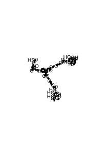 CC(=O)N1CCO[C@H]2O[C@H](CNC(=O)COCCOCCOC(=O)Cn3cc(C(=O)OCCOCCOCC(=O)NC[C@H]4O[C@@H]5OCCN(C(C)=O)[C@@H]5[C@@H](O)[C@H]4O)c4cc(OCCN5C(=O)CC(SCC(=O)S)C5=O)ccc43)[C@H](O)[C@H](O)[C@H]21